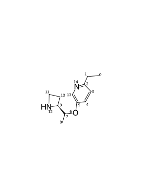 CCc1ccc(OC(C)[C@@H]2CCN2)cn1